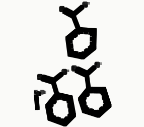 O=C([O-])c1ccccc1.O=C([O-])c1ccccc1.O=C([O-])c1ccccc1.[CH3][Sn+3]